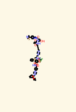 Cc1ncsc1-c1ccc(CNC(=O)[C@@H]2C[C@@H](O)CN2C(=O)[C@@H](NC(=O)CCCCCN2CCN(CC[C@H](CSc3ccccc3)Nc3ccc(S(=O)(=O)NC(=O)c4ccc(N5CCN(CC6=C(C78CC(C)(C7)C8)CC(C)(C)CC6)CC5)cc4)cc3S(=O)(=O)C(F)(F)F)CC2)C(C)(C)C)cc1